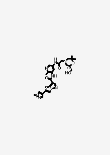 Cc1ncc(NC(=O)CN2C[C@H](CO)OC(C)(C)C2)cc1NC(=O)c1cnn2cc(-c3cnn(C)c3)sc12